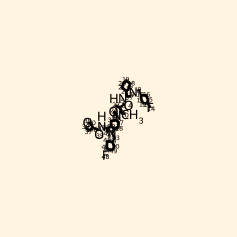 Cc1c(C(=O)Nc2cn(Cc3ccc(F)cc3)c3ccccc23)co[n+]1-c1ccc2c(c1)c(NC(=O)c1ccoc1)cn2Cc1ccc(F)cc1